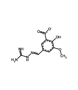 COc1cc(C=NNC(=N)N)cc([N+](=O)[O-])c1O